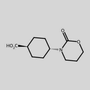 O=C1OCCCN1[C@H]1CC[C@H](C(=O)O)CC1